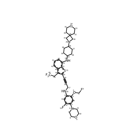 FCOc1cc(N2CCOCC2)c(F)cc1NCC#Cc1sc2c(NC3CCC(N4CC5(CCOCC5)C4)CC3)cccc2c1CC(F)(F)F